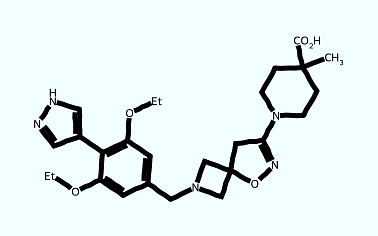 CCOc1cc(CN2CC3(CC(N4CCC(C)(C(=O)O)CC4)=NO3)C2)cc(OCC)c1-c1cn[nH]c1